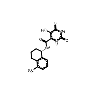 O=C(N[C@H]1CCCc2c1cccc2C(F)(F)F)c1[nH]c(=O)[nH]c(=O)c1O